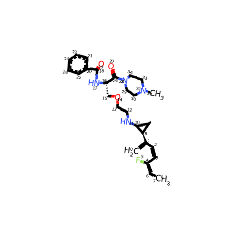 C=C(/C=C\C(F)=C/C)[C@@H]1CC1NCCOC[C@H](NC(=O)c1ccccc1)C(=O)N1CCN(C)CC1